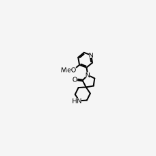 COc1ccncc1N1CCC2(CCNCC2)C1=O